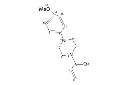 C=CC(=O)N1CCN(c2ccc(OC)cc2)CC1